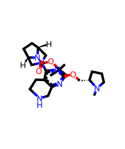 CN1CCC[C@H]1COc1nc2c(c(N3C[C@H]4CC[C@@H](C3)N4C(=O)OC(C)(C)C)n1)CCNC2